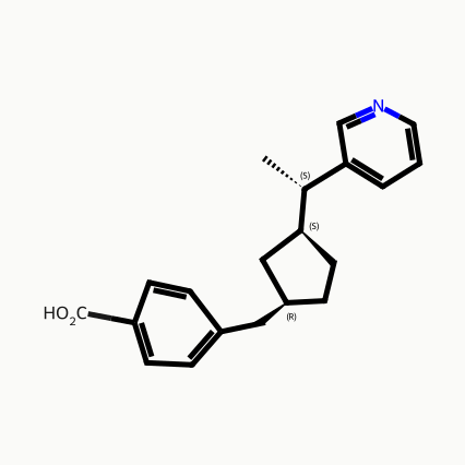 C[C@H](c1cccnc1)[C@H]1CC[C@@H](Cc2ccc(C(=O)O)cc2)C1